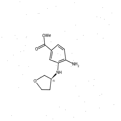 COC(=O)c1ccc(N)c(N[C@H]2CCOC2)c1